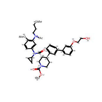 COCCCN(C(C)=O)c1cc(N(C(=O)[C@H]2CN(C(=O)OC(C)(C)C)CC[C@@H]2c2cccc(-c3cccc(OCCO)c3)c2)C2CC2)ccc1OC